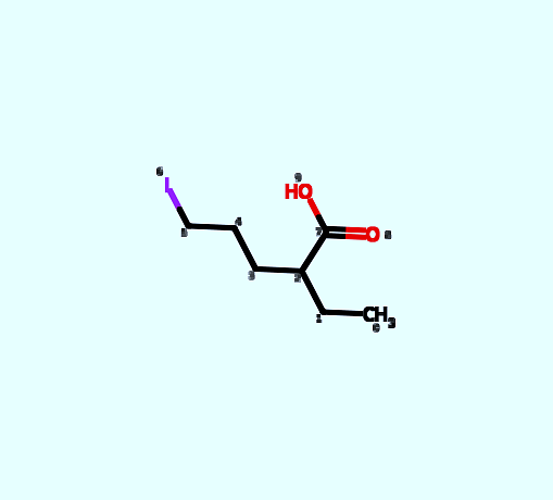 CCC(CCCI)C(=O)O